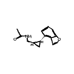 CC(=O)NC[C@@H]1C[C@H]1c1cccc2occc12